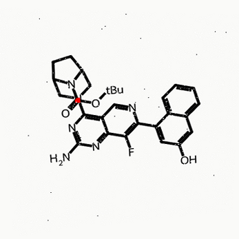 CC(C)(C)OC(=O)N1C2CCC1CN(c1nc(N)nc3c(F)c(-c4cc(O)cc5ccccc45)ncc13)C2